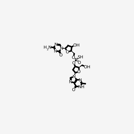 Cc1nc2c(ncn2[C@H]2CC(OP(=O)(S)OC[C@H]3O[C@@H](n4cnc(N)nc4=O)CC3O)[C@@H](CO)O2)c(=O)[nH]1